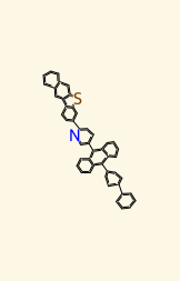 c1ccc(-c2ccc(-c3c4ccccc4c(-c4ccc(-c5ccc6c(c5)sc5cc7ccccc7cc56)nc4)c4ccccc34)cc2)cc1